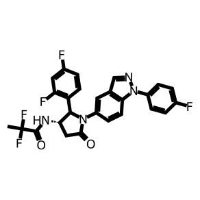 CC(F)(F)C(=O)N[C@H]1CC(=O)N(c2ccc3c(cnn3-c3ccc(F)cc3)c2)C1c1ccc(F)cc1F